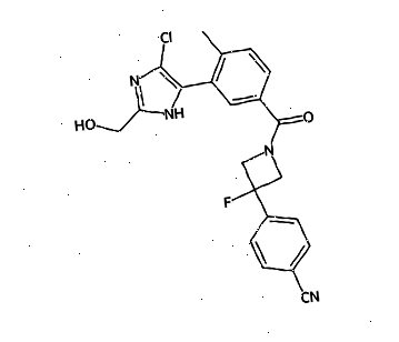 Cc1ccc(C(=O)N2CC(F)(c3ccc(C#N)cc3)C2)cc1-c1[nH]c(CO)nc1Cl